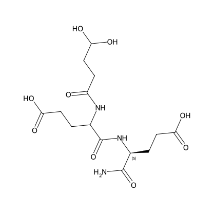 NC(=O)[C@H](CCC(=O)O)NC(=O)C(CCC(=O)O)NC(=O)CCC(O)O